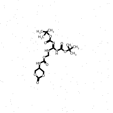 CC(C)(C)OC(=O)/N=C(\NCOC(=O)NC1COC(=O)OC1)NC(=O)OC(C)(C)C